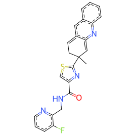 CC1(c2nc(C(=O)NCc3ncccc3F)cs2)C=c2nc3ccccc3cc2=CC1